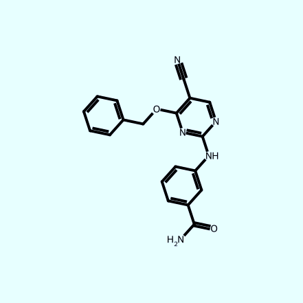 N#Cc1cnc(Nc2cccc(C(N)=O)c2)nc1OCc1ccccc1